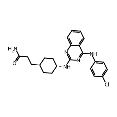 NC(=O)CC[C@H]1CC[C@H](Nc2nc(Nc3ccc(Cl)cc3)c3ccccc3n2)CC1